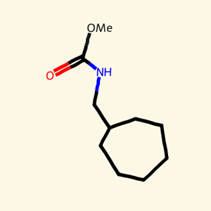 COC(=O)NCC1CCCCCC1